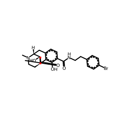 CN1CC[C@]23CC(=O)CC[C@@]2(O)[C@H]1Cc1ccc(C(=O)NCCc2ccc(Br)cc2)c(O)c13